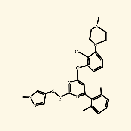 Cc1cccc(C)c1-c1cc(Oc2cccc(N3CCN(C)CC3)c2Cl)nc(NSc2cnn(C)c2)n1